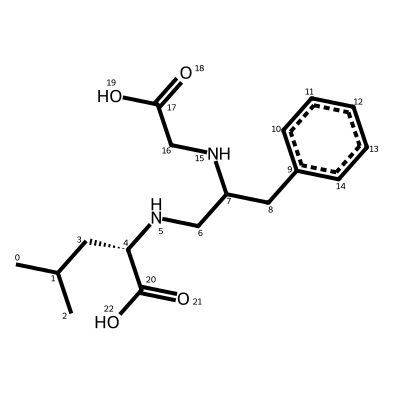 CC(C)C[C@H](NCC(Cc1ccccc1)NCC(=O)O)C(=O)O